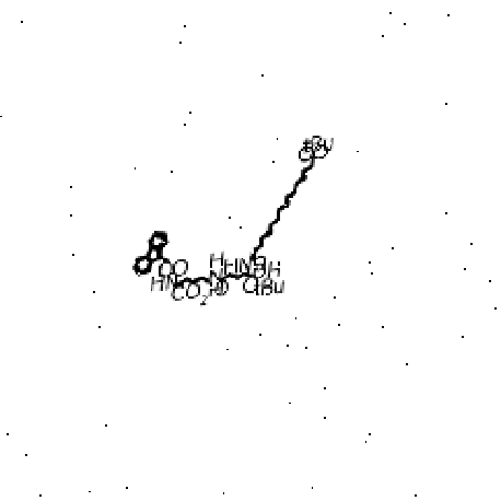 CC(C)(C)OC(=O)CCCCCCCCCCCCCCC(=O)NC(CCC(=O)NCCCCC(NC(=O)OCC1c2ccccc2-c2ccccc21)C(=O)O)C(O)OC(C)(C)C